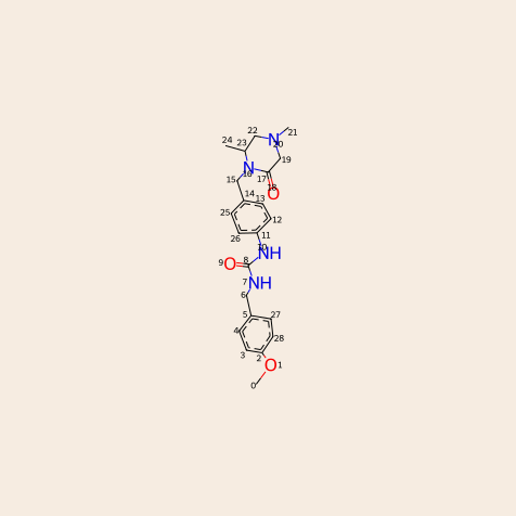 COc1ccc(CNC(=O)Nc2ccc(CN3C(=O)CN(C)CC3C)cc2)cc1